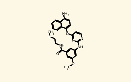 COCCNC(=O)c1cc(Nc2nccc(Oc3ccc(N)c4ccccc34)n2)cc(OC)c1